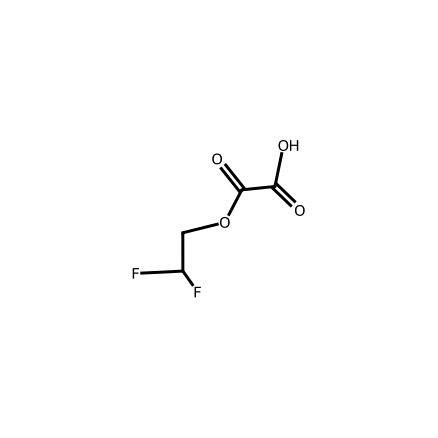 O=C(O)C(=O)OCC(F)F